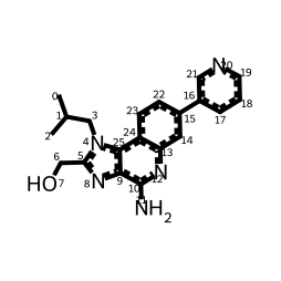 CC(C)Cn1c(CO)nc2c(N)nc3cc(-c4cccnc4)ccc3c21